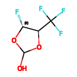 OC1OC(C(F)(F)F)[C@@H](F)O1